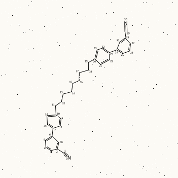 N#Cc1cccc(-c2ccc(CCCCCCCCCc3ccc(-c4cccc(C#N)c4)cc3)cc2)c1